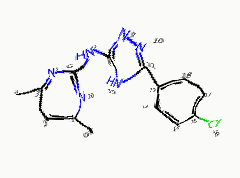 Cc1cc(C)nc(Nc2nnc(-c3ccc(Cl)cc3)[nH]2)n1